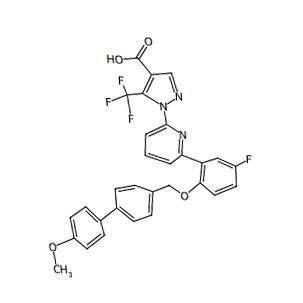 COc1ccc(-c2ccc(COc3ccc(F)cc3-c3cccc(-n4ncc(C(=O)O)c4C(F)(F)F)n3)cc2)cc1